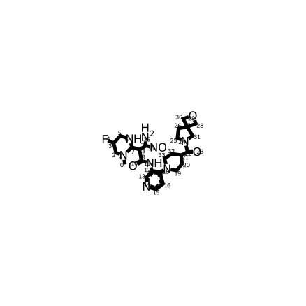 CN1CC(F)CNC1C(C(=O)Nc1cnccc1N1CCC(C(=O)N2CCC3(COC3)C2)CC1)C(N)N=O